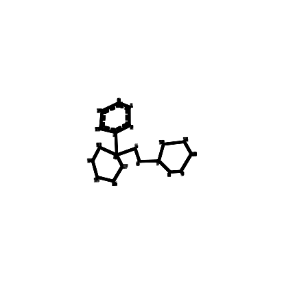 [c]1ccc(C2(CCC3CCCCC3)CCCCC2)cc1